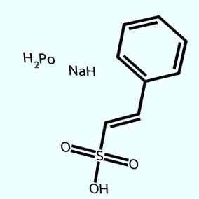 O=S(=O)(O)C=Cc1ccccc1.[NaH].[PoH2]